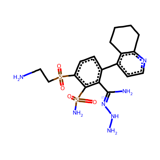 NCCS(=O)(=O)c1ccc(-c2ccnc3c2CCCC3)c(/C(N)=N/NN)c1S(N)(=O)=O